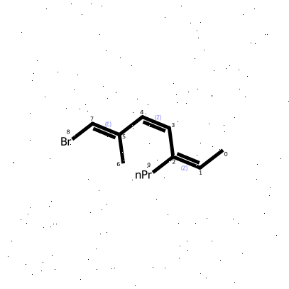 C\C=C(/C=C\C(C)=C\Br)CCC